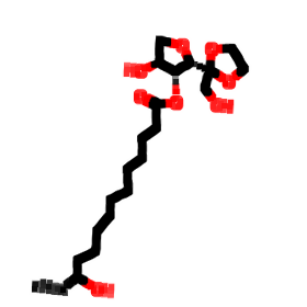 CCCCCCC(O)CCCCCCCCCCC(=O)O[C@@H]1[C@@H](O)CO[C@@H]1C1(CO)OCCO1